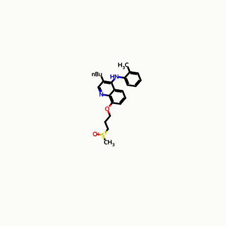 CCCCc1cnc2c(OCCC[S+](C)[O-])cccc2c1Nc1ccccc1C